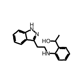 CC(O)c1ccccc1NCCc1n[nH]c2ccccc12